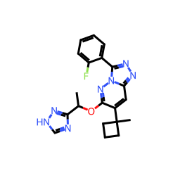 CC(Oc1nn2c(-c3ccccc3F)nnc2cc1C1(C)CCC1)c1nc[nH]n1